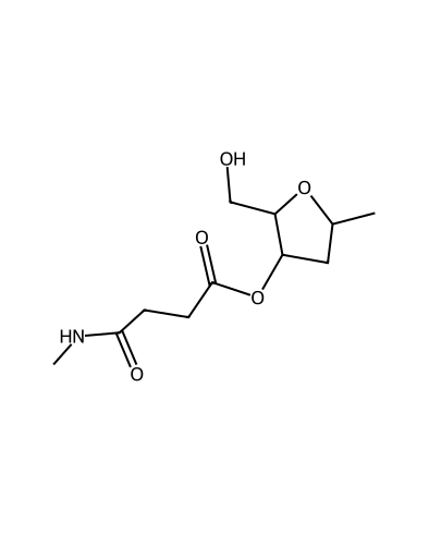 CNC(=O)CCC(=O)OC1CC(C)OC1CO